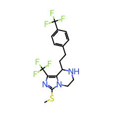 CSc1nc(C(F)(F)F)c2n1CCNC2CCc1ccc(C(F)(F)F)cc1